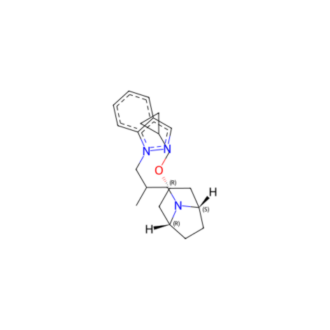 CC(CN1[C@@H]2CC[C@H]1C[C@@H](OCC1CC1)C2)Cn1ncc2ccccc21